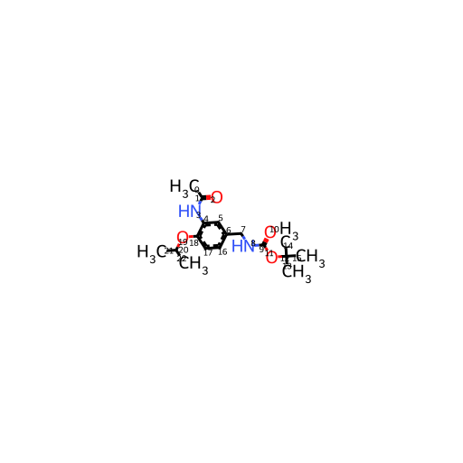 CC(=O)Nc1cc(CNC(=O)OC(C)(C)C)ccc1OC(C)C